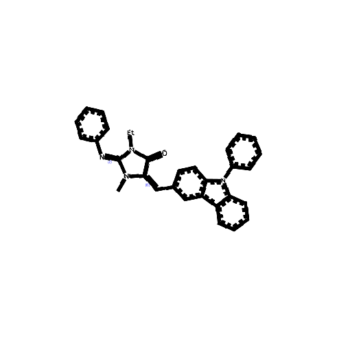 CCN1C(=O)/C(=C\c2ccc3c(c2)c2ccccc2n3-c2ccccc2)N(C)/C1=N/c1ccccc1